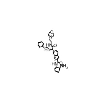 Nc1ccccc1NC(=O)c1cc2ccc(C(NCCc3ccccc3)C(=O)NCCN3CCOCC3)cc2s1